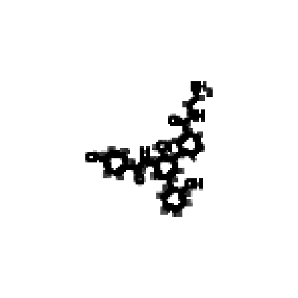 N#Cc1c(-c2cccc(C(=O)NCCN)c2)cc(-c2ccccc2O)nc1NC(=O)c1ccc(Cl)cc1